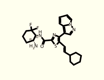 N[C@@H]1CCCC(F)(F)[C@@H]1NC(=O)c1nc(-c2cnn3ccccc23)c(C=CC2CCCCC2)s1